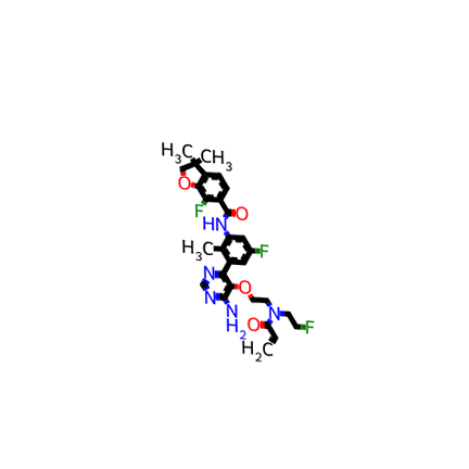 C=CC(=O)N(CCF)CCOc1c(N)ncnc1-c1cc(F)cc(NC(=O)c2ccc3c(c2F)OCC3(C)C)c1C